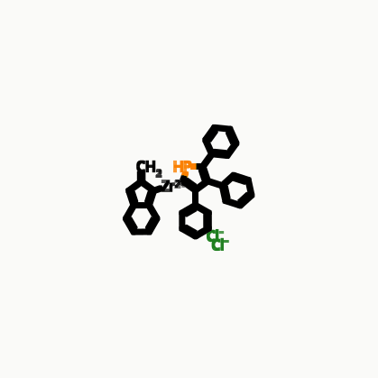 C=C1C=c2ccccc2=[C]1[Zr+2][c]1[pH]c(-c2ccccc2)c(-c2ccccc2)c1-c1ccccc1.[Cl-].[Cl-]